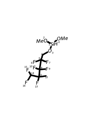 CO[SiH](OC)OCC(F)(F)C(F)(F)C(C)(F)C(F)F